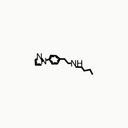 CCCCCNCCc1ccc(-n2cccn2)cc1